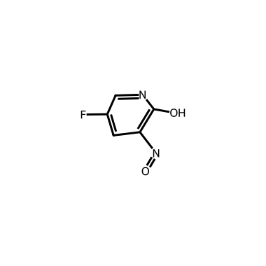 O=Nc1cc(F)cnc1O